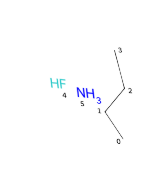 CCCC.F.N